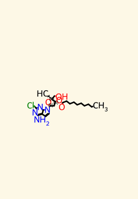 C#C[C@]1(CO)O[C@@H](n2ccc3c(N)nc(Cl)nc32)C[C@@H]1OC(=O)CCCCCCCCC